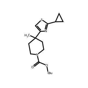 CC(C)(C)OC(=O)N1CCC(C)(c2csc(C3CC3)n2)CC1